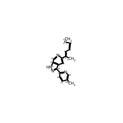 C=N/C=C\C=C(/C)c1cc2c(-c3ccc(C)cn3)n[nH]c2cn1